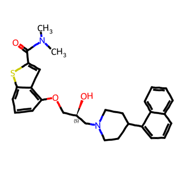 CN(C)C(=O)c1cc2c(OC[C@@H](O)CN3CCC(c4cccc5ccccc45)CC3)cccc2s1